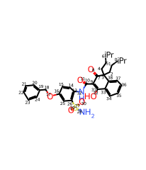 CC(C)CCC1(CCC(C)C)C(=O)C(C(=O)Nc2ccc(OCc3ccccc3)cc2S(N)(=O)=O)=C(O)c2ccccc21